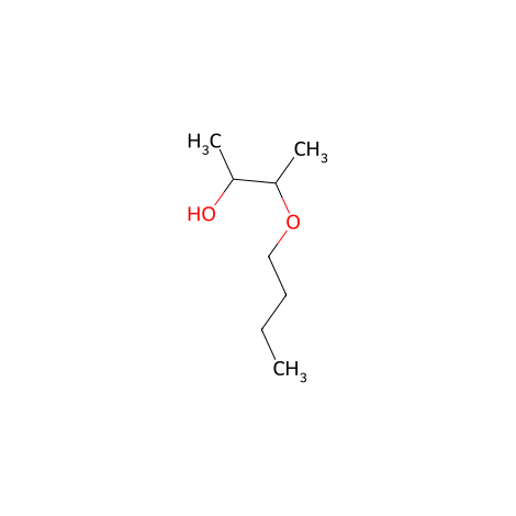 CCCCOC(C)C(C)O